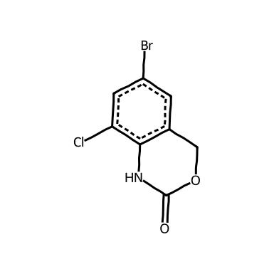 O=C1Nc2c(Cl)cc(Br)cc2CO1